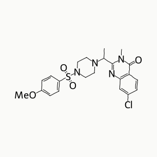 COc1ccc(S(=O)(=O)N2CCN(C(C)c3nc4cc(Cl)ccc4c(=O)n3C)CC2)cc1